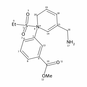 CCS(=O)(=O)[N+]1(c2cccc(C(=O)OC)c2)C=C(CN)C=CC1